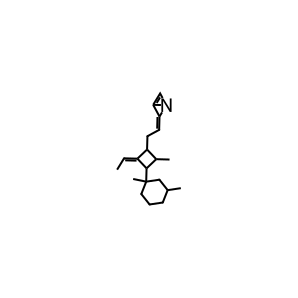 C/C=C1/C(C/C=C2\C3=CN32)C(C)C1C1(C)CCCC(C)C1